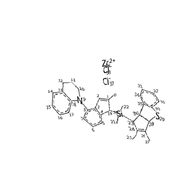 CC1=Cc2c(cccc2N2CCCc3ccccc32)C1[Si](C)(C)C1C(C)=C(C)C2Sc3ccccc3C21.[Cl-].[Cl-].[Zr+2]